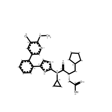 COc1ncc(-c2ccccc2-c2csc(N(C(=O)[C@@H](CC(=O)O)CC3CCCC3)C3CC3)n2)cc1Cl